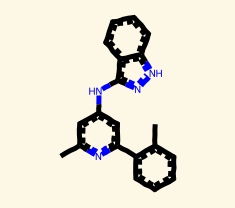 Cc1cc(Nc2n[nH]c3ccccc23)cc(-c2ccccc2C)n1